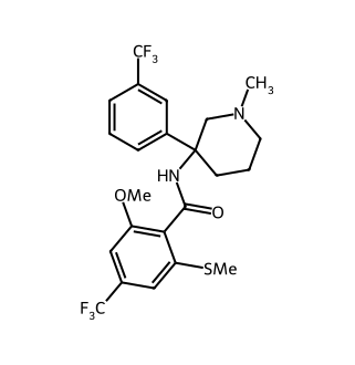 COc1cc(C(F)(F)F)cc(SC)c1C(=O)NC1(c2cccc(C(F)(F)F)c2)CCCN(C)C1